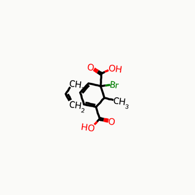 C=CC.CC1C(C(=O)O)=CC=CC1(Br)C(=O)O